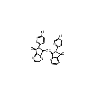 O=C1c2nccnc2C(=O)N1c1ccc(Cl)cn1.O=C1c2nccnc2C(=O)N1c1ccc(Cl)cn1